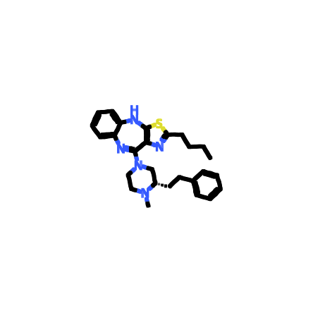 CCCCc1nc2c(s1)Nc1ccccc1N=C2N1CCN(C)[C@@H](CCc2ccccc2)C1